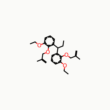 C=C(C)COc1c(OCC)cccc1C(CC)c1cccc(OCC)c1OCC(=C)C